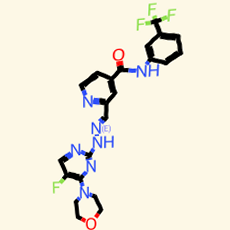 O=C(Nc1cccc(C(F)(F)F)c1)c1ccnc(/C=N/Nc2ncc(F)c(N3CCOCC3)n2)c1